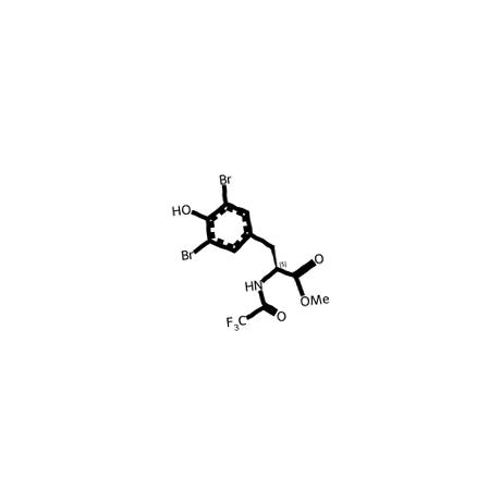 COC(=O)[C@H](Cc1cc(Br)c(O)c(Br)c1)NC(=O)C(F)(F)F